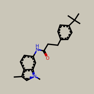 Cc1cn(C)c2cc(NC(=O)CCc3ccc(C(C)(C)C)cc3)ccc12